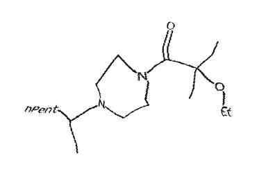 CCCCCC(C)N1CCN(C(=O)C(C)(C)OCC)CC1